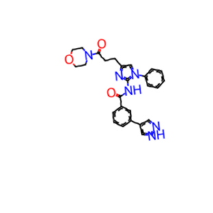 O=C(Nc1nc(CCC(=O)N2CCOCC2)cn1-c1ccccc1)c1cccc(-c2cn[nH]c2)c1